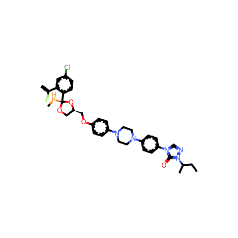 C=C(F)c1cc(Cl)ccc1[C@@]1(PC)OC[C@H](COc2ccc(N3CCN(c4ccc(-n5cnn(C(C)CC)c5=O)cc4)CC3)cc2)O1